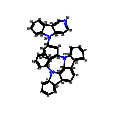 c1ccc(-n2c3ccccc3c3ccc4c5ccccc5n(-c5cccc(-n6c7ccccc7c7cnccc76)c5)c4c32)cc1